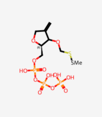 C=C1CO[C@H](COP(=O)(O)OP(=O)(O)OP(=O)(O)O)C1OCSSC